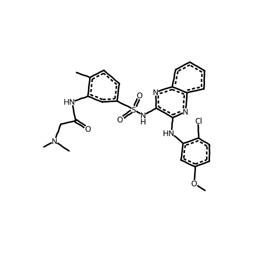 COc1ccc(Cl)c(Nc2nc3ccccc3nc2NS(=O)(=O)c2ccc(C)c(NC(=O)CN(C)C)c2)c1